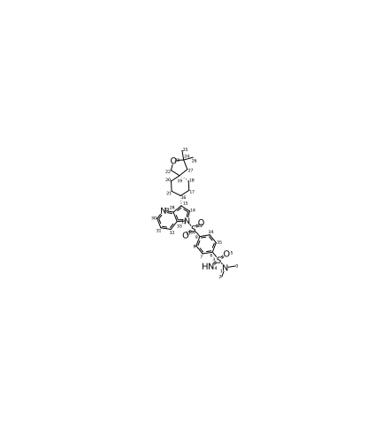 CN(C)S(=N)(=O)c1ccc(S(=O)(=O)n2cc([C@H]3CC[C@]4(CC3)COC(C)(C)C4)c3ncccc32)cc1